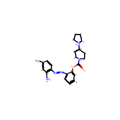 Cc1ccc(/N=N/c2ccccc2OC(=O)N2CCC(N3CCCC3)CC2)c(N)c1